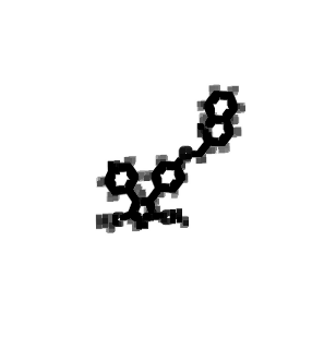 Cc1nn(C)c(-c2ccc(OCc3ccc4ccccc4n3)cc2)c1-c1ccncc1